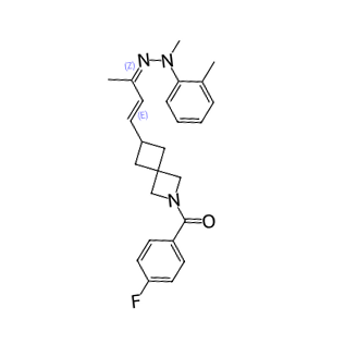 CC(/C=C/C1CC2(C1)CN(C(=O)c1ccc(F)cc1)C2)=N/N(C)c1ccccc1C